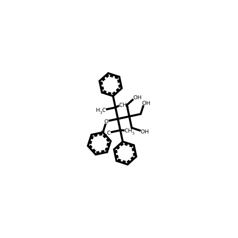 CC(C)(c1ccccc1)C(Oc1ccccc1)(C(CO)(CO)CO)C(C)(C)c1ccccc1